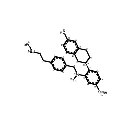 CCCNCCc1ccc(CN(CC)c2cc(OC)ccc2[C@@H]2CCc3cc(O)ccc3C2)cc1